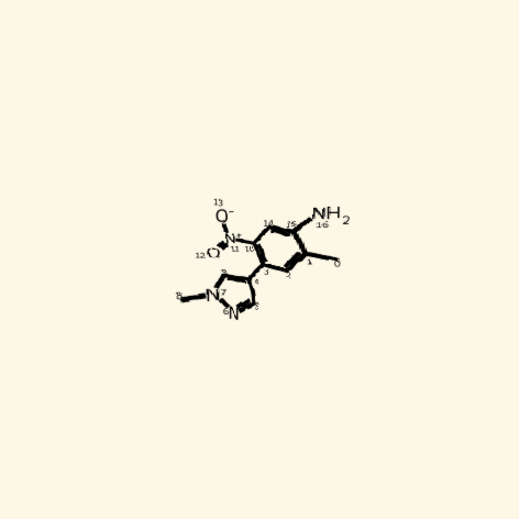 Cc1cc(-c2cnn(C)c2)c([N+](=O)[O-])cc1N